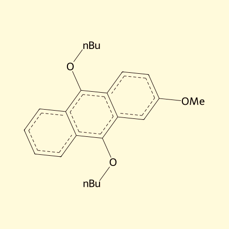 CCCCOc1c2ccccc2c(OCCCC)c2cc(OC)ccc12